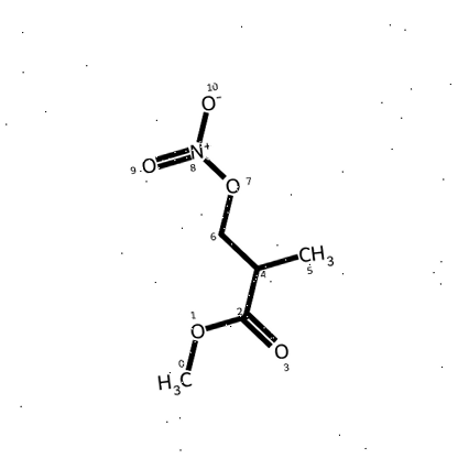 COC(=O)C(C)CO[N+](=O)[O-]